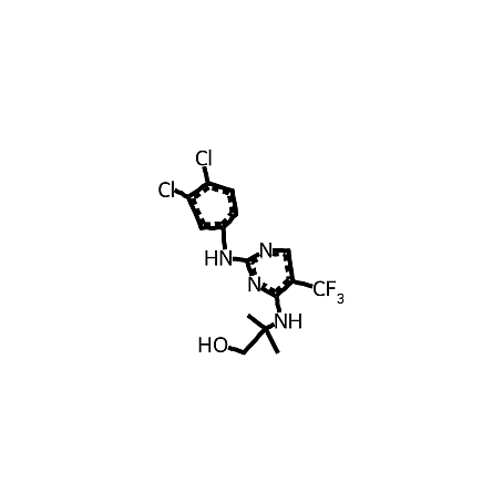 CC(C)(CO)Nc1nc(Nc2ccc(Cl)c(Cl)c2)ncc1C(F)(F)F